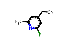 N#CCc1cc(F)nc(C(F)(F)F)c1